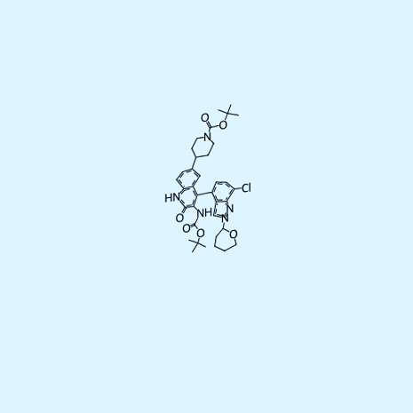 CC(C)(C)OC(=O)Nc1c(-c2ccc(Cl)c3nn(C4CCCCO4)cc23)c2cc(C3CCN(C(=O)OC(C)(C)C)CC3)ccc2[nH]c1=O